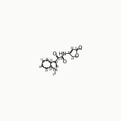 Cn1cc(C(=O)C(=O)NC2=CC(=O)OC2)c2ccccc21